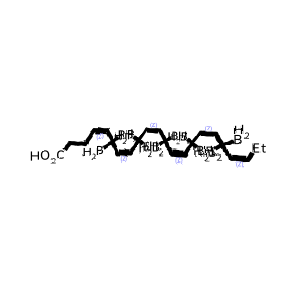 BC(B)(/C=C\CC)/C=C\C(B)(B)/C=C\C(B)(B)/C=C\C(B)(B)/C=C\C(B)(B)/C=C\CCC(=O)O